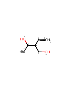 C=CC(CO)C(O)C(C)(C)C